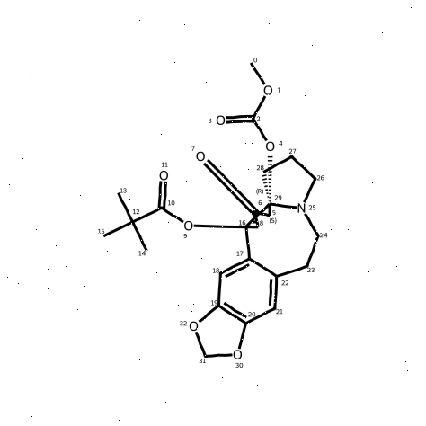 COC(=O)O[C@@H]1C(=O)C(OC(=O)C(C)(C)C)=C2c3cc4c(cc3CCN3CCC[C@@]213)OCO4